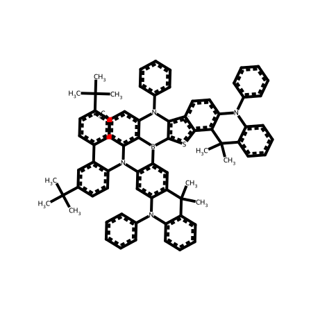 Cc1cc2c3c(c1)N(c1ccccc1)c1c(sc4c5c(ccc14)N(c1ccccc1)c1ccccc1C5(C)C)B3c1cc3c(cc1N2c1ccc(C(C)(C)C)cc1-c1ccc(C(C)(C)C)cc1)N(c1ccccc1)c1ccccc1C3(C)C